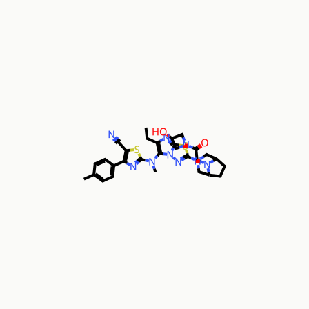 CCc1nc2sc(N3CC4CCC(C3)N4CC(=O)N3CC(O)C3)nn2c1N(C)c1nc(-c2ccc(C)cc2)c(C#N)s1